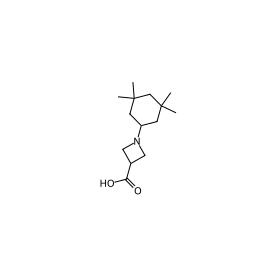 CC1(C)CC(N2CC(C(=O)O)C2)CC(C)(C)C1